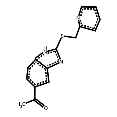 CC(=O)c1ccc2[nH]c(SCc3ccccn3)nc2c1